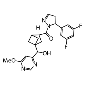 COc1cc(C(O)C23CC(C2)[C@@H](C(=O)N2N=CCC2c2cc(F)cc(F)c2)C3)ncn1